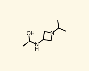 CC(C)N1CC(N[C@@H](C)O)C1